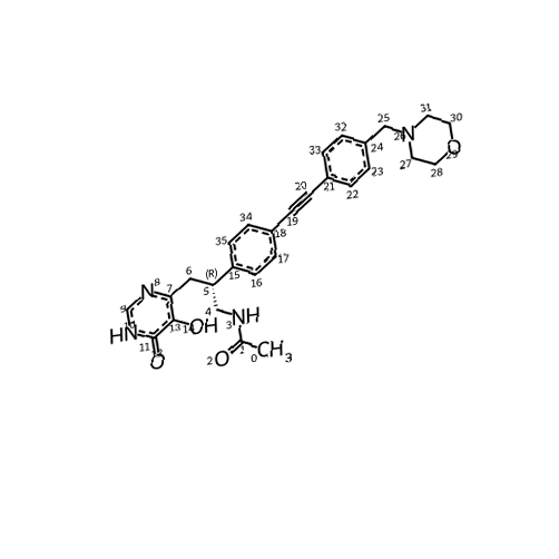 CC(=O)NC[C@H](Cc1nc[nH]c(=O)c1O)c1ccc(C#Cc2ccc(CN3CCOCC3)cc2)cc1